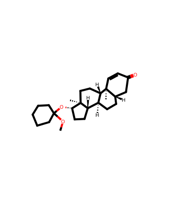 COC1(O[C@H]2CC[C@H]3[C@@H]4CC[C@H]5CC(=O)C=C[C@]5(C)[C@H]4CC[C@]23C)CCCCC1